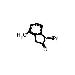 Cc1cccc2c1CC(=O)N2C(C)C